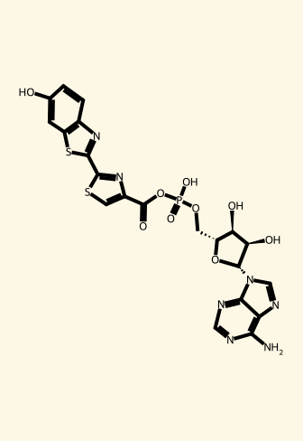 Nc1ncnc2c1ncn2[C@@H]1O[C@H](COP(=O)(O)OC(=O)c2csc(-c3nc4ccc(O)cc4s3)n2)[C@@H](O)[C@H]1O